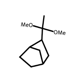 COC(C)(OC)C1CC2CCC1C2